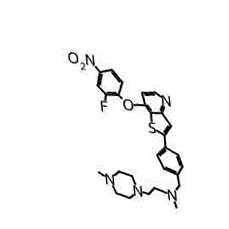 CN1CCN(CCN(C)Cc2ccc(-c3cc4nccc(Oc5ccc([N+](=O)[O-])cc5F)c4s3)cc2)CC1